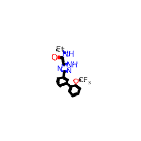 CCNC(=O)c1nc(-c2cccc(-c3ccccc3OC(F)(F)F)c2)n[nH]1